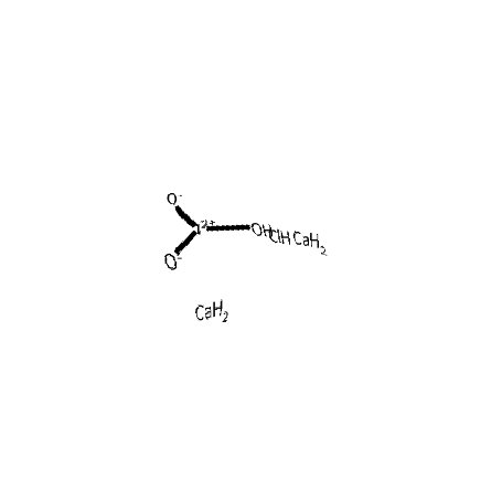 Cl.[CaH2].[CaH2].[O-][I+2]([O-])O